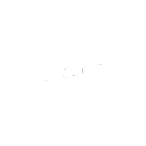 C=CCOc1ccc2cc(OCC=C)ccc2c1